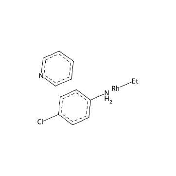 C[CH2][Rh].Nc1ccc(Cl)cc1.c1ccncc1